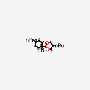 CCCCC1COC(C2(C#N)CCC(CCC)CC2)OC1